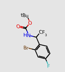 CC(C)(C)OC(=O)NC(c1ccc(F)cc1Br)C(F)(F)F